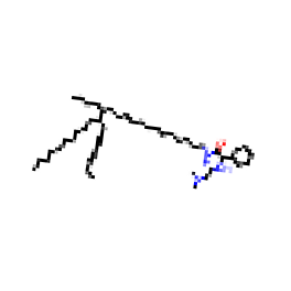 CCC#CC#CCC(CCCCCCCCCC)C(CCCC)CCCCCCCCCCCCCNC(=O)C(NCCN(C)C)C1CCCCC1